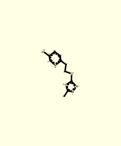 Cc1nnc(OCCc2ccc(Cl)cn2)s1